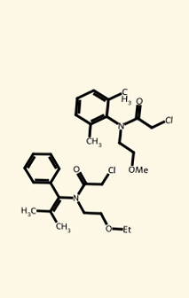 CCOCCN(C(=O)CCl)C(=C(C)C)c1ccccc1.COCCN(C(=O)CCl)c1c(C)cccc1C